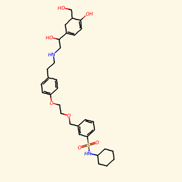 O=S(=O)(NC1CCCCC1)c1cccc(COCCOc2ccc(CCNCC(O)C3=CC=C(O)C(CO)C3)cc2)c1